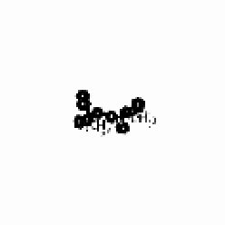 CC1(C)c2ccccc2-c2ccc(N(C3=CC=C(c4ccc5c(c4)c4c(n5-c5ccc6ccccc6c5)-c5ccccc5C4(C)C)CC3)c3ccccc3)cc21